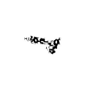 Cn1nccc1-c1cc2cc(F)ccc2n1CC(=O)NCc1ccc(-c2ccc(S(C)(=O)=O)cc2)cn1